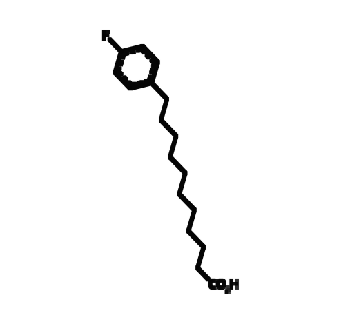 O=C(O)CCCCCCCCCCc1ccc(F)cc1